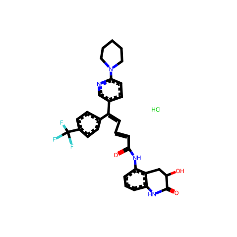 Cl.O=C(/C=C/C=C(\c1ccc(C(F)(F)F)cc1)c1ccc(N2CCCCC2)nc1)Nc1cccc2c1CC(O)C(=O)N2